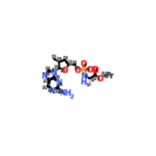 CC(C)OC(=O)[C@H](C)N[P@](=O)(O)OC[C@@H]1C[C@H](C)[C@H](n2cnc3cnc(N)nc32)O1